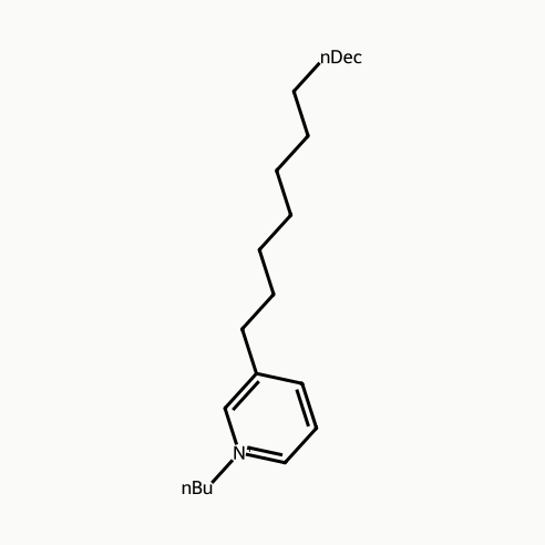 CCCCCCCCCCCCCCCCCc1ccc[n+](CCCC)c1